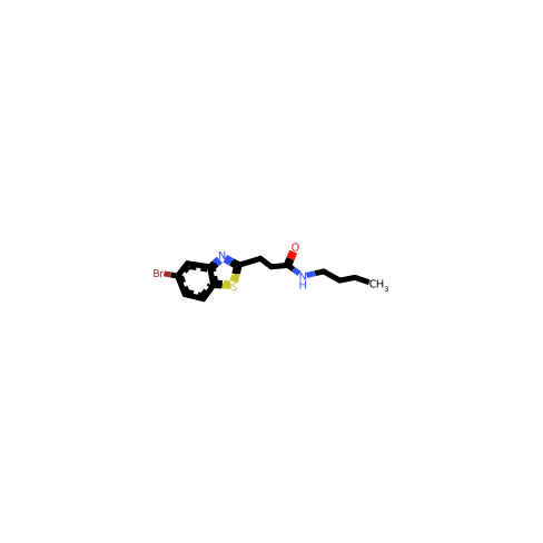 CCCCNC(=O)CCc1nc2cc(Br)ccc2s1